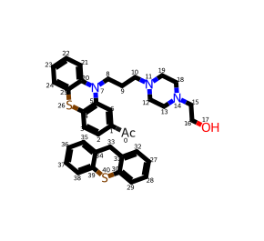 CC(=O)c1ccc2c(c1)N(CCCN1CCN(CCO)CC1)c1ccccc1S2.c1ccc2c(c1)Cc1ccccc1S2